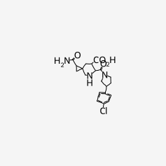 NC(=O)C1CC12CNC(C(=O)N1CCC(c3ccc(Cl)cc3)C1)C(C(=O)O)C2